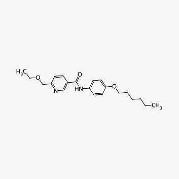 CCCCCCOc1ccc(NC(=O)c2ccc(COCC)nc2)cc1